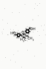 CCCN(C(=O)N(CCC)c1ccc(CO)cc1)c1ccc(CO)cc1